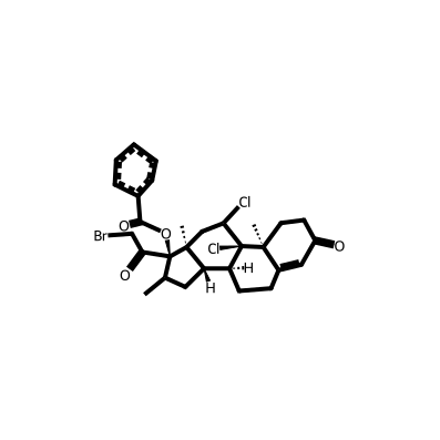 CC1C[C@H]2[C@@H]3CCC4=CC(=O)CC[C@]4(C)[C@@]3(Cl)C(Cl)C[C@]2(C)[C@@]1(OC(=O)c1ccccc1)C(=O)CBr